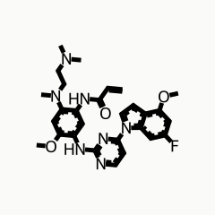 C=CC(=O)Nc1cc(Nc2nccc(-n3ccc4c(OC)cc(F)cc43)n2)c(OC)cc1N(C)CCN(C)C